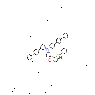 c1ccc(-c2ccc(-c3ccc(N(c4cccc(-c5ccc(-c6ccccc6)cc5)c4)c4ccc5oc6ccc7nc(-c8ccccc8)sc7c6c5c4)cc3)cc2)cc1